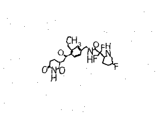 CCc1cc(CNC(=O)C(F)(F)C2CCC(F)CN2)ccc1C(=O)CC1CCC(=O)NC1=O